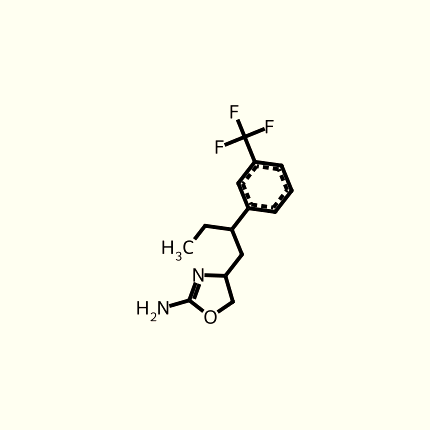 CCC(CC1COC(N)=N1)c1cccc(C(F)(F)F)c1